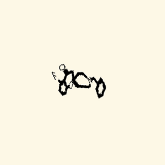 O=C1CC2(CCN(Cc3ccccc3)CC2)Oc2cccc(F)c21